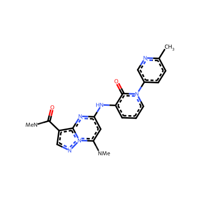 CNC(=O)c1cnn2c(NC)cc(Nc3cccn(-c4ccc(C)nc4)c3=O)nc12